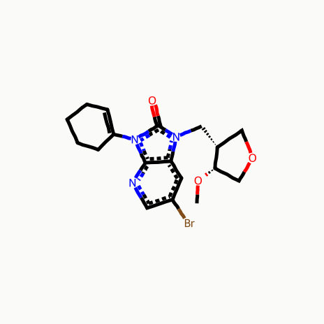 CO[C@H]1COC[C@H]1Cn1c(=O)n(C2=CCCCC2)c2ncc(Br)cc21